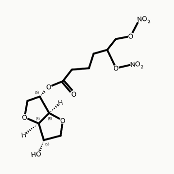 O=C(CCCC(CO[N+](=O)[O-])O[N+](=O)[O-])O[C@H]1CO[C@H]2[C@@H]1OC[C@@H]2O